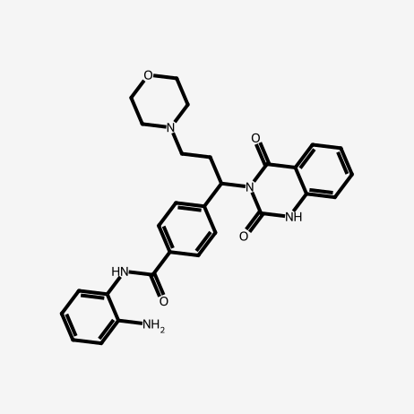 Nc1ccccc1NC(=O)c1ccc(C(CCN2CCOCC2)n2c(=O)[nH]c3ccccc3c2=O)cc1